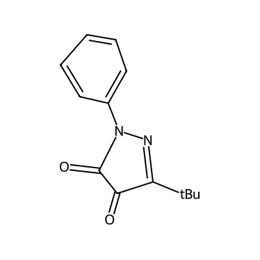 CC(C)(C)C1=NN(c2ccccc2)C(=O)C1=O